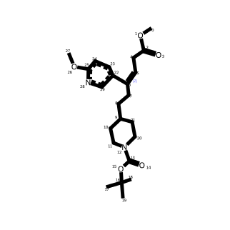 COC(=O)C/C=C(/CCC1CCN(C(=O)OC(C)(C)C)CC1)c1ccc(OC)nc1